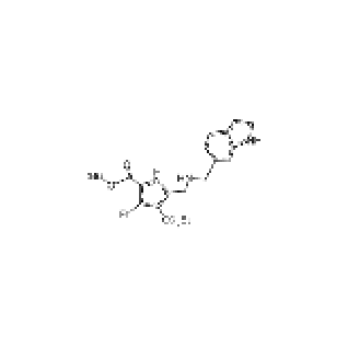 CCOC(=O)c1c(CNCc2ccc3cc[nH]c3c2)[nH]c(C(=O)OC(C)(C)C)c1CC